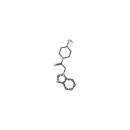 CN1CCN(C(=O)Cn2cnc3ccccc32)CC1